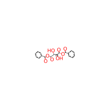 O=C(OC(=O)C(O)[C@H](O)C(=O)OC(=O)c1ccccc1)c1ccccc1